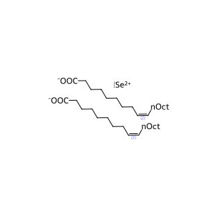 CCCCCCCC/C=C\CCCCCCCC(=O)[O-].CCCCCCCC/C=C\CCCCCCCC(=O)[O-].[Se+2]